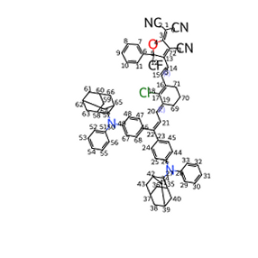 N#CC(C#N)=C1OC(c2ccccc2)(C(F)(F)F)C(/C=C/C2=C(Cl)C(=C/C=C(c3ccc(N(c4ccccc4)C4C5CC6CC(C5)CC4C6)cc3)c3ccc(N(c4ccccc4)C4C5CC6CC(C5)CC4C6)cc3)/CCC2)=C1C#N